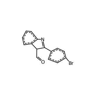 O=CC1C(c2ccc(Br)cc2)=Nc2ccccc21